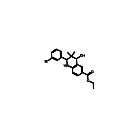 CCOC(=O)c1ccc2c(c1)C(O)C(C)(C)C(c1cccc(Br)c1)N2